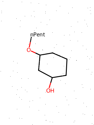 CCCCCOC1CCCC(O)C1